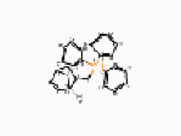 C1=C[C@H]2CC1CC2C[PH](c1ccccc1)(c1ccccc1)c1ccccc1